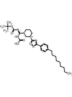 CCCCCCCCCc1ccc(-c2noc([C@@H]3CCCN(/C(=N/C(=O)OC(C)(C)C)NC(=O)O)C3)n2)cc1